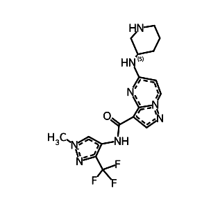 Cn1cc(NC(=O)c2cnn3ccc(N[C@H]4CCCNC4)nc23)c(C(F)(F)F)n1